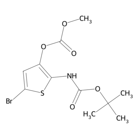 COC(=O)Oc1cc(Br)sc1NC(=O)OC(C)(C)C